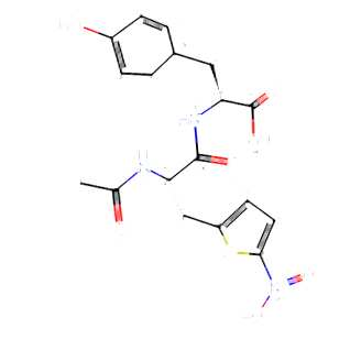 CC(=O)N[C@@H](Cc1ccc([N+](=O)[O-])s1)C(=O)N[C@@H](CC1C=CC(O)=CC1)C(=O)O